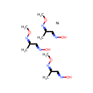 CON=C(C)C=NO.CON=C(C)C=NO.CON=C(C)C=NO.[Ni]